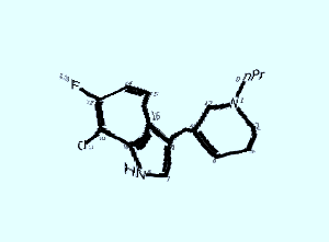 CCCN1CCC=C(c2c[nH]c3c(Cl)c(F)ccc23)C1